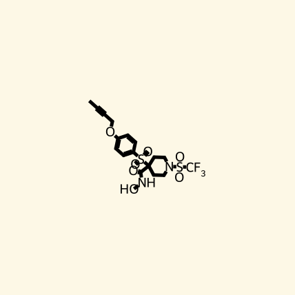 CC#CCOc1ccc(S(=O)(=O)C2(C(=O)NO)CCN(S(=O)(=O)C(F)(F)F)CC2)cc1